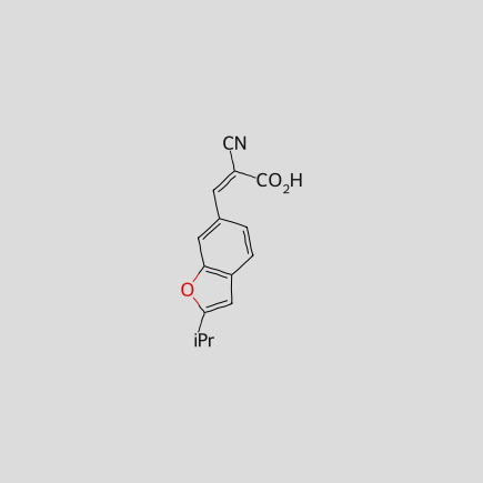 CC(C)c1cc2ccc(/C=C(/C#N)C(=O)O)cc2o1